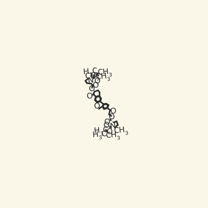 CC1CCC(C(=O)OC2CCc3cc4c(cc3C2=O)OCc2cc(C(=O)COC(=O)[C@@H]3CC[C@H](C)N3C(=O)OC(C)(C)C)ccc2-4)N1C(=O)OC(C)(C)C